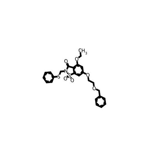 CCOc1cc(OCCOCc2ccccc2)cc2c1C(=O)N(CSc1ccccc1)S2(=O)=O